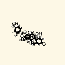 COc1ccc([C@H]2O[C@@H]3C[C@H]4[C@@H]5CCC6=CC(=O)C=C[C@]6(C)[C@H]5[C@@H](O)C[C@]4(C)[C@]3(C(=O)S)O2)c(F)c1